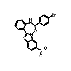 O=[N+]([O-])c1ccc2nc3n(c2c1)OC(c1ccc(Br)cc1)Nc1ccccc1-3